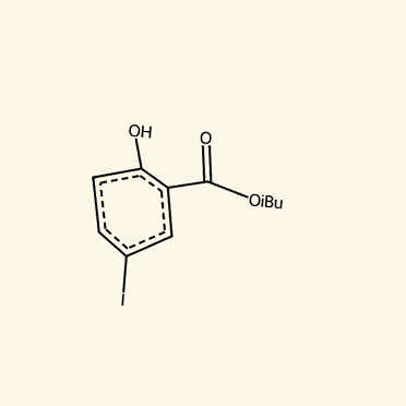 CC(C)COC(=O)c1cc(I)ccc1O